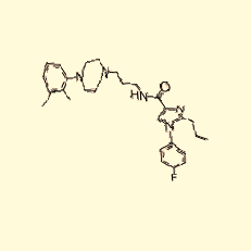 CCCc1nc(C(=O)NCCCN2CCN(c3cccc(C)c3C)CC2)cn1-c1ccc(F)cc1